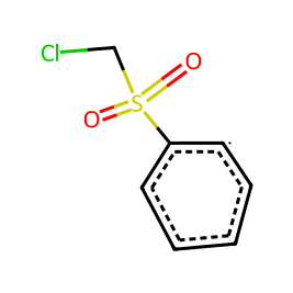 O=S(=O)(CCl)c1[c]cccc1